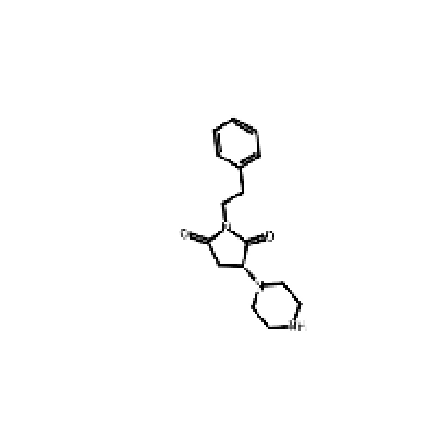 O=C1C[C@H](N2CCNCC2)C(=O)N1CCc1ccccc1